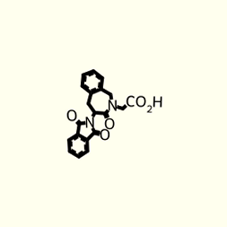 O=C(O)CN1Cc2ccccc2CC(N2C(=O)c3ccccc3C2=O)C1=O